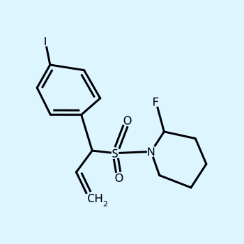 C=CC(c1ccc(I)cc1)S(=O)(=O)N1CCCCC1F